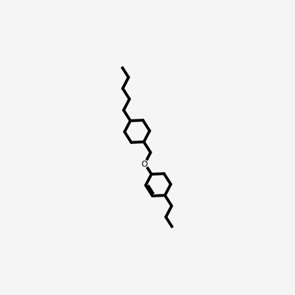 CCCCCC1CCC(COC2C=CC(CCC)CC2)CC1